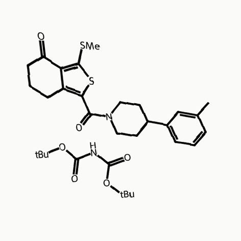 CC(C)(C)OC(=O)NC(=O)OC(C)(C)C.CSc1sc(C(=O)N2CCC(c3cccc(C)c3)CC2)c2c1C(=O)CCC2